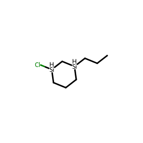 CCC[SiH]1CCC[SiH](Cl)C1